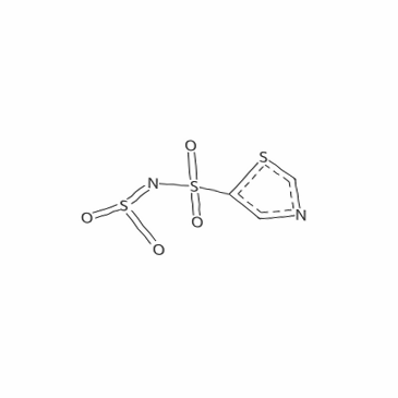 O=S(=O)=NS(=O)(=O)c1cncs1